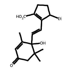 CCC1CCC(C(=O)O)=C1C=CC1(O)C(C)=CC(=O)CC1(C)C